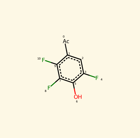 CC(=O)c1cc(F)c(O)c(F)c1F